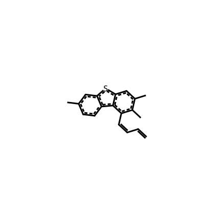 C=C/C=C\c1c(C)c(C)cc2sc3cc(C)ccc3c12